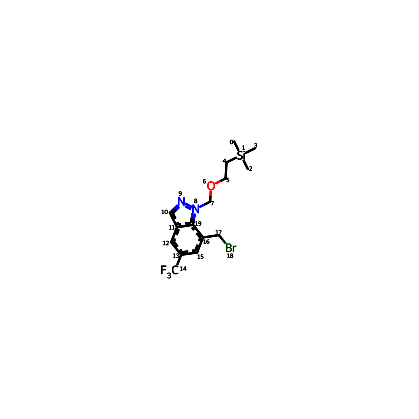 C[Si](C)(C)CCOCn1ncc2cc(C(F)(F)F)cc(CBr)c21